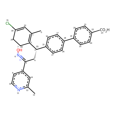 CC1=C([C@@H](C/C(=N\O)c2ccnc(C)c2)c2ccc(-c3ccc(C(=O)O)cc3)cc2)CCC(Cl)=C1